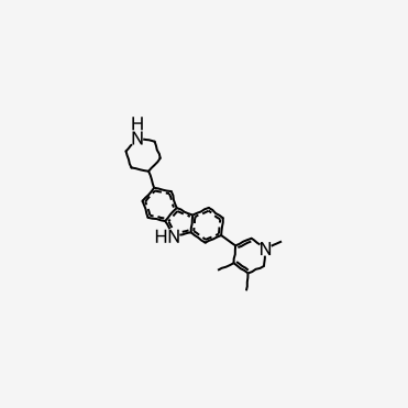 CC1=C(C)C(c2ccc3c(c2)[nH]c2ccc(C4CCNCC4)cc23)=CN(C)C1